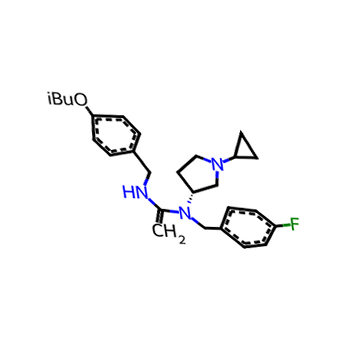 C=C(NCc1ccc(OCC(C)C)cc1)N(Cc1ccc(F)cc1)[C@@H]1CCN(C2CC2)C1